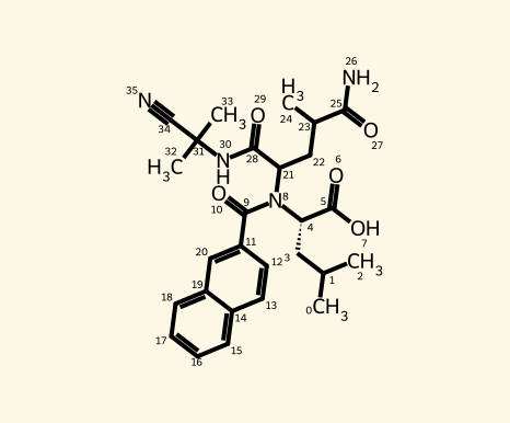 CC(C)C[C@@H](C(=O)O)N(C(=O)c1ccc2ccccc2c1)C(CC(C)C(N)=O)C(=O)NC(C)(C)C#N